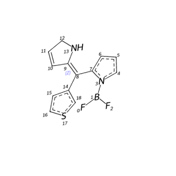 FB(F)n1cccc1/C(=C1/C=CCN1)c1ccsc1